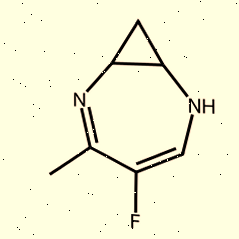 CC1=NC2CC2NC=C1F